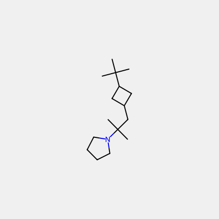 CC(C)(C)C1CC(CC(C)(C)N2CCCC2)C1